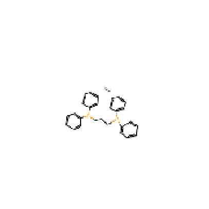 [Ru].c1ccc(P(CCCP(c2ccccc2)c2ccccc2)c2ccccc2)cc1